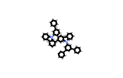 c1ccc(-c2cc(-c3ccccc3)cc(-n3c4ccccc4c4ccc(-c5cccc6c7ccccc7n(-c7cccc(-c8ccccc8)c7)c56)cc43)c2)cc1